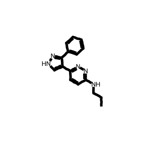 CCCNc1ccc(-c2c[nH]nc2-c2ccccc2)nn1